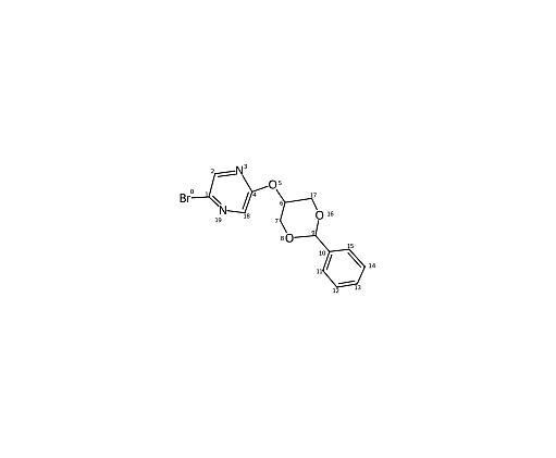 Brc1cnc(OC2COC(c3ccccc3)OC2)cn1